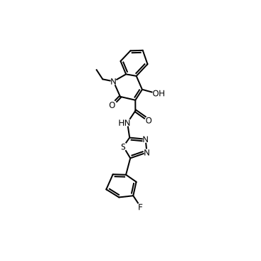 CCn1c(=O)c(C(=O)Nc2nnc(-c3cccc(F)c3)s2)c(O)c2ccccc21